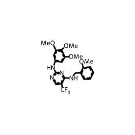 COc1ccccc1CNc1nc(Nc2cc(OC)c(OC)c(OC)c2)ncc1C(F)(F)F